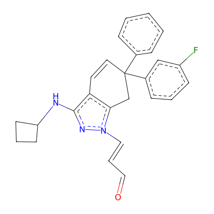 O=CC=Cn1nc(NC2CCC2)c2c1CC(c1ccccc1)(c1cccc(F)c1)C=C2